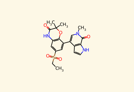 CCS(=O)(=O)c1cc2c(c(-c3cn(C)c(=O)c4[nH]ccc34)c1)OC(C)(C)C(=O)N2